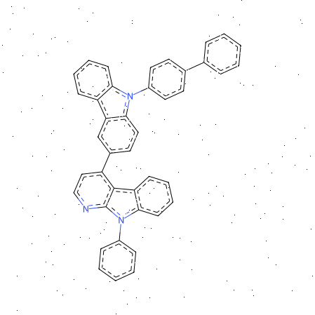 c1ccc(-c2ccc(-n3c4ccccc4c4cc(-c5ccnc6c5c5ccccc5n6-c5ccccc5)ccc43)cc2)cc1